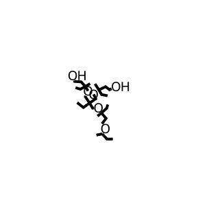 CCC(C)OCCC(C)(CC)OCC(CC)(COC(C)(CC)CCO)COC(C)(CC)CCO